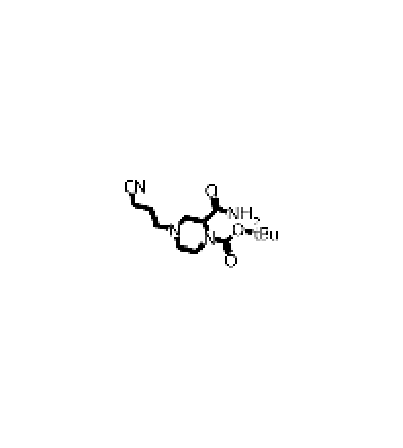 CC(C)(C)OC(=O)N1CCN(CCCC#N)CC1C(N)=O